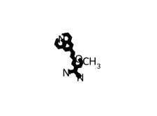 CC1CC(=C(C#N)C#N)C=C(/C=C/c2cc3c4c(c2)CCCN4CCC3)O1